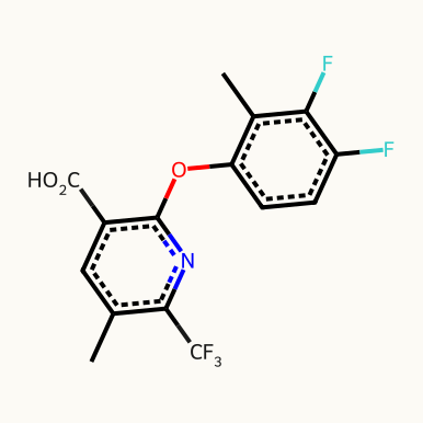 Cc1cc(C(=O)O)c(Oc2ccc(F)c(F)c2C)nc1C(F)(F)F